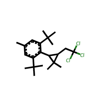 Cc1cc(C(C)(C)C)c(C2C(CC(Cl)(Cl)Cl)C2(C)C)c(C(C)(C)C)c1